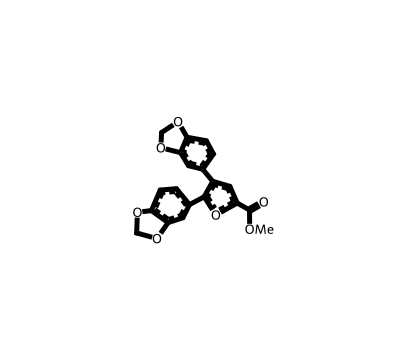 COC(=O)c1cc(-c2ccc3c(c2)OCO3)c(-c2ccc3c(c2)OCO3)o1